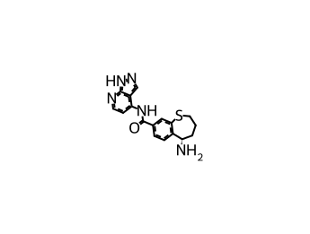 N[C@H]1CCCSc2cc(C(=O)Nc3ccnc4[nH]ncc34)ccc21